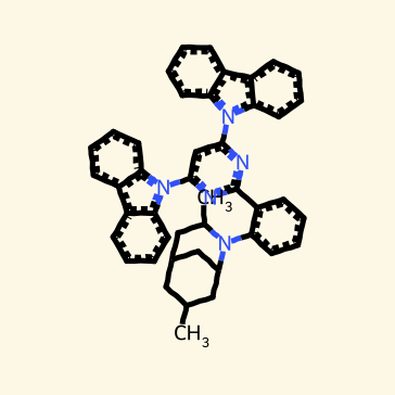 CC1CC2CC(C)N(c3ccccc3-c3nc(-n4c5ccccc5c5ccccc54)cc(-n4c5ccccc5c5ccccc54)n3)C(C1)C2